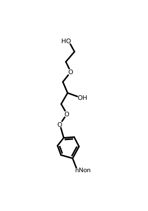 CCCCCCCCCc1ccc(OOCC(O)COCCO)cc1